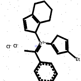 CCC1=CC[C](/[Zr+2](=[C](/C)c2ccccc2)[CH]2C=CC3=C2CCCC3)=C1.[Cl-].[Cl-]